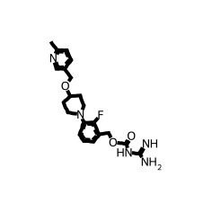 Cc1ccc(COC2CCN(c3cccc(COC(=O)NC(=N)N)c3F)CC2)cn1